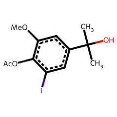 COc1cc(C(C)(C)O)cc(I)c1OC(C)=O